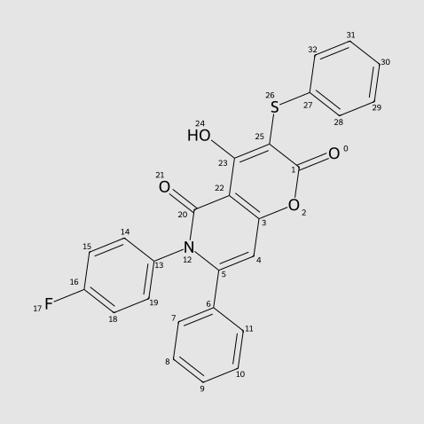 O=c1oc2cc(-c3ccccc3)n(-c3ccc(F)cc3)c(=O)c2c(O)c1Sc1ccccc1